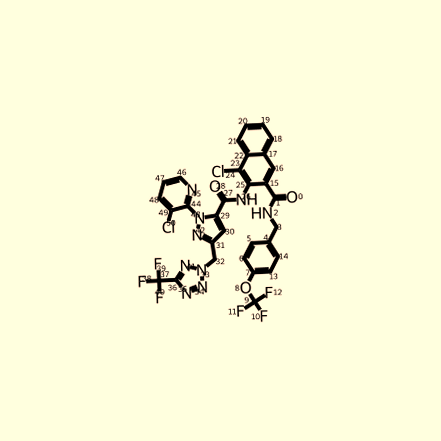 O=C(NCc1ccc(OC(F)(F)F)cc1)c1cc2ccccc2c(Cl)c1NC(=O)c1cc(Cn2nnc(C(F)(F)F)n2)nn1-c1ncccc1Cl